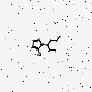 C=CC(CCC)n1ccnc1Cl